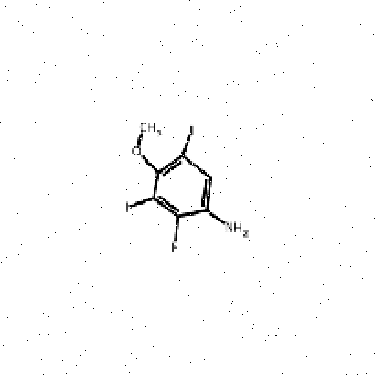 COc1c(I)cc(N)c(F)c1I